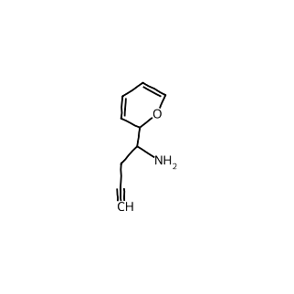 C#CCC(N)C1C=CC=CO1